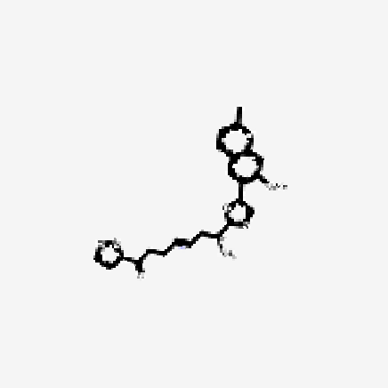 COc1cc2nc(C)ccc2cc1-c1cnc([C@@H](N)C/C=C/CCC(=O)c2ccon2)o1